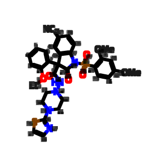 CCOc1ccccc1C1(C(=O)NN2CCN(c3nccs3)CC2)C(=O)N(S(=O)(=O)c2ccc(OC)cc2OC)c2ccc(C#N)cc21